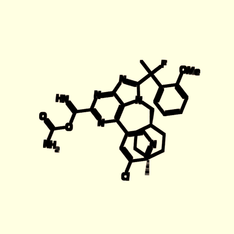 COc1ccccc1C(C)(F)c1nc2nc(C(=N)OC(N)=O)nc(-c3cncc(Cl)c3)c2n1C[C@H]1CC[C@H](C)CC1